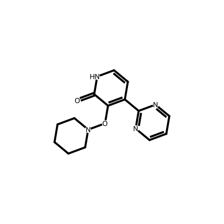 O=c1[nH]ccc(-c2ncccn2)c1ON1CCCCC1